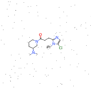 CC(C)n1c(Cl)cnc1CCC(=O)N1CCC[C@H](N(C)C)C1